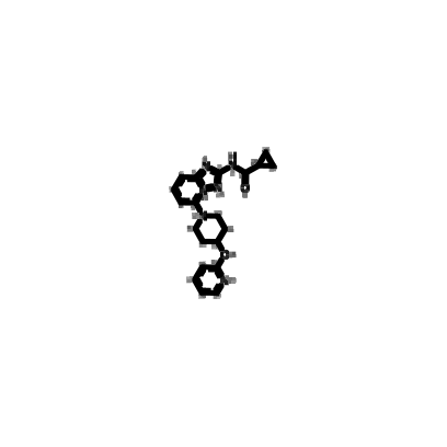 O=C(Nc1nc2cccc(N3CCC(Oc4ccccn4)CC3)n2n1)C1CC1